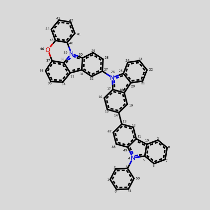 c1ccc(-n2c3ccccc3c3cc(-c4ccc5c(c4)c4ccccc4n5-c4ccc5c(c4)c4cccc6c4n5-c4ccccc4O6)ccc32)cc1